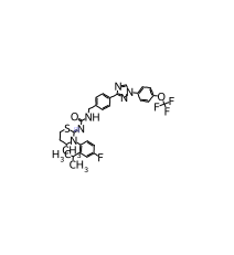 CC(C)c1cc(F)ccc1N1/C(=N/C(=O)NCc2ccc(-c3ncn(-c4ccc(OC(F)(F)F)cc4)n3)cc2)SCCC1C